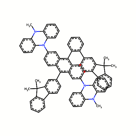 CN1c2ccccc2N(c2ccc3c(-c4ccccc4-c4ccc5c(c4)C(C)(C)c4ccccc4-5)c4cc(N5c6ccccc6N(C)c6ccccc65)ccc4c(-c4ccc5c(c4)C(C)(C)c4ccccc4-5)c3c2)c2ccccc21